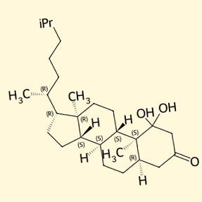 CC(C)CCC[C@@H](C)[C@H]1CC[C@H]2[C@@H]3CC[C@@H]4CC(=O)CC(O)(O)[C@]4(C)[C@H]3CC[C@]12C